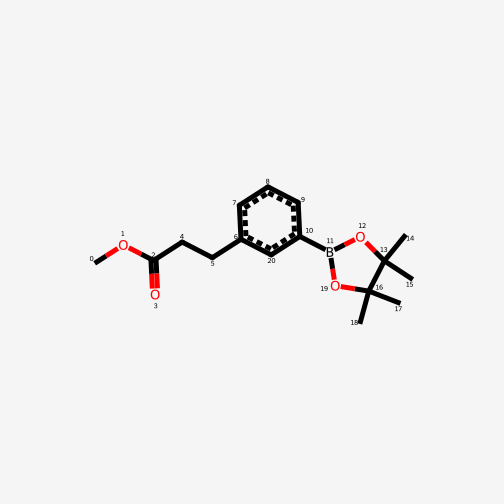 COC(=O)CCc1cccc(B2OC(C)(C)C(C)(C)O2)c1